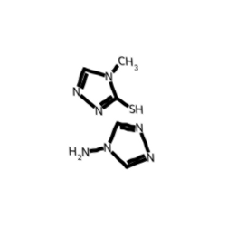 Cn1cnnc1S.Nn1cnnc1